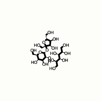 OC[C@@H](O)[C@@H](O)[C@H](O)[C@@H](O)CO.OC[C@H]1O[C@@](CO)(O[C@H]2O[C@H](CO)[C@@H](O)[C@H](O)[C@H]2O)[C@@H](O)[C@@H]1O